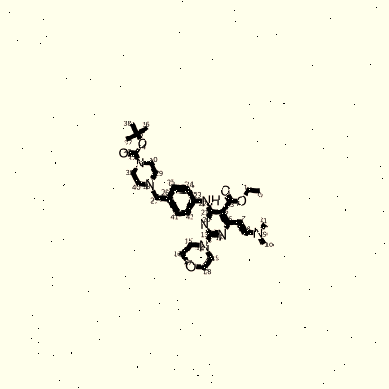 CCOC(=O)c1c(C=CN(C)C)nc(N2CCOCC2)nc1Nc1ccc(CN2CCN(C(=O)OC(C)(C)C)CC2)cc1